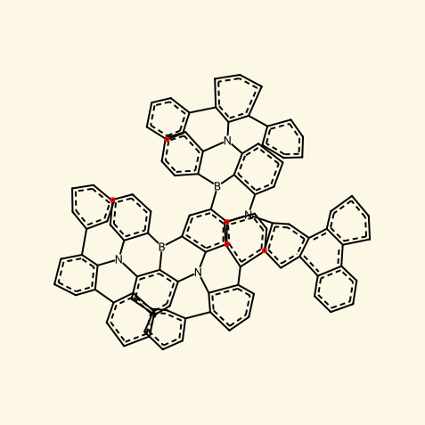 c1ccc(-c2cccc(-c3ccccc3)c2N2c3ccccc3B3c4cc5c(cc4N(c4ccc6c7ccccc7c7ccccc7c6c4)c4cccc2c43)N(c2c(-c3ccccc3)cccc2-c2ccccc2)c2cccc3c2B5c2ccccc2N3c2c(-c3ccccc3)cccc2-c2ccccc2)cc1